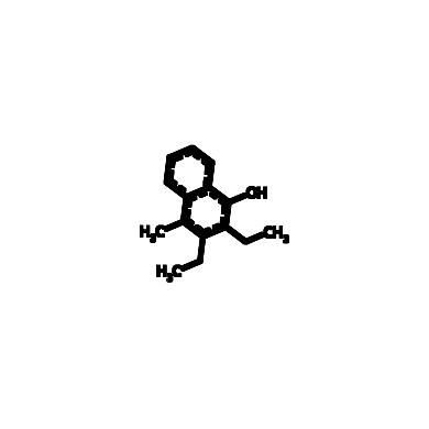 CCc1c(CC)c(O)c2ccccc2c1C